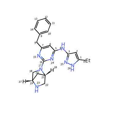 CCc1cc(Nc2cc(Cc3ccccc3)nc(N3C[C@@H]4C[C@H]3CN4)n2)n[nH]1